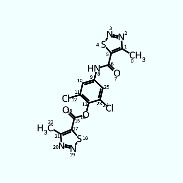 Cc1nnsc1C(=O)Nc1cc(Cl)c(OC(=O)c2snnc2C)c(Cl)c1